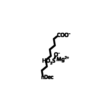 CCCCCCCCCCCCCCCCCC(=O)[O-].O=S(=O)([O-])O.[Mg+2]